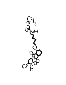 COCC(=O)NCCCCCCOc1cccc2c1C(=O)N(C1CCC(=O)NC1=O)C2=O